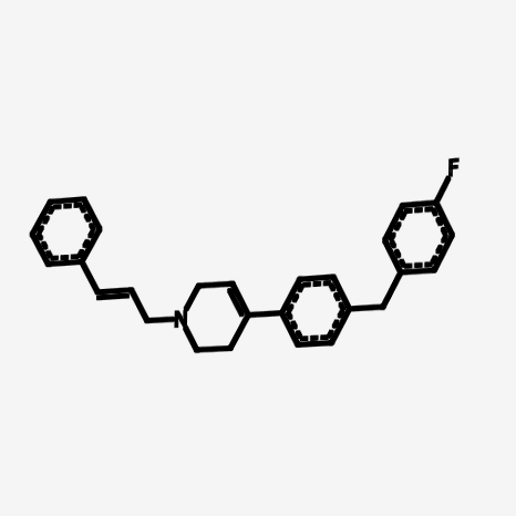 Fc1ccc(Cc2ccc(C3=CCN(CC=Cc4ccccc4)CC3)cc2)cc1